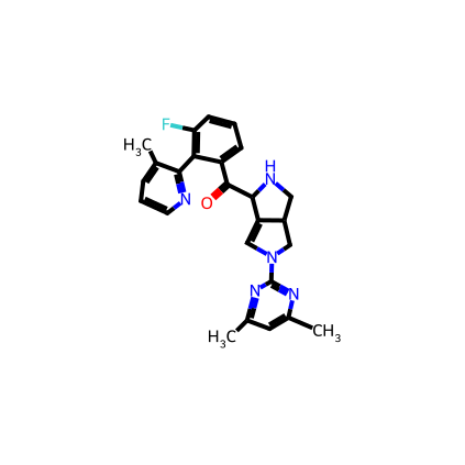 Cc1cc(C)nc(N2C=C3C(CNC3C(=O)c3cccc(F)c3-c3ncccc3C)C2)n1